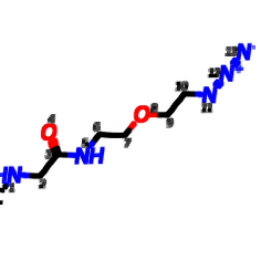 CNCC(=O)NCCOCCN=[N+]=[N-]